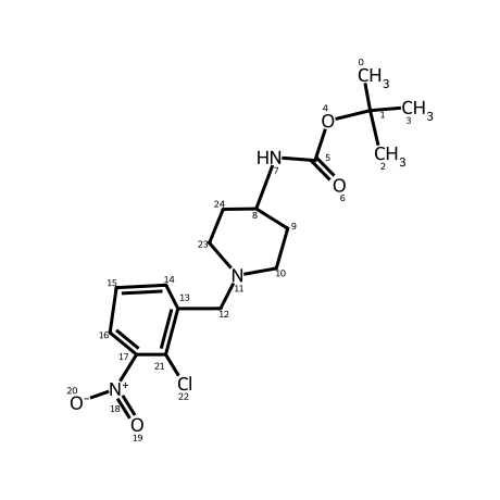 CC(C)(C)OC(=O)NC1CCN(Cc2cccc([N+](=O)[O-])c2Cl)CC1